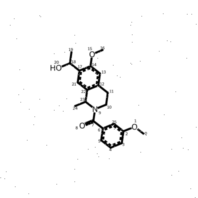 COc1cccc(C(=O)N2CCc3cc(OC)c(C(C)O)cc3C2C)c1